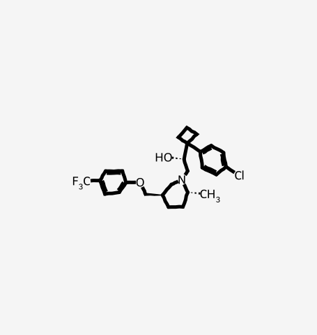 C[C@@H]1CC[C@@H](COc2ccc(C(F)(F)F)cc2)CN1C[C@H](O)C1(c2ccc(Cl)cc2)CCC1